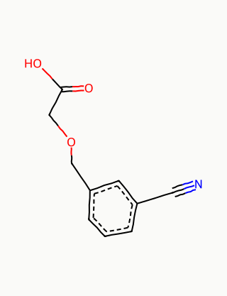 N#Cc1cccc(COCC(=O)O)c1